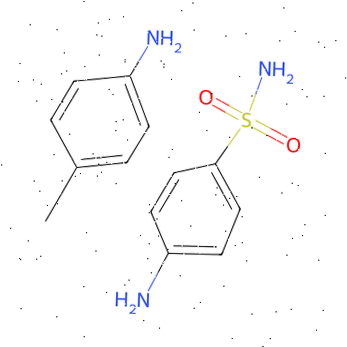 Cc1ccc(N)cc1.Nc1ccc(S(N)(=O)=O)cc1